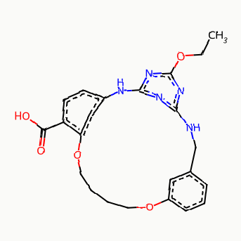 CCOc1nc2nc(n1)Nc1ccc(C(=O)O)c(c1)OCCCCOc1cccc(c1)CN2